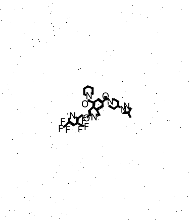 Cc1cnn(C2CCN(C(=O)c3cc(C(=O)N4CCCCC4)c4cc(OCc5ncc(C(F)(F)F)cc5C(F)(F)F)ncc4c3)CC2)c1